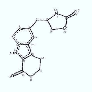 O=C1NC(Cc2ccc3[nH]c4c(c3c2)CCOC4=O)CO1